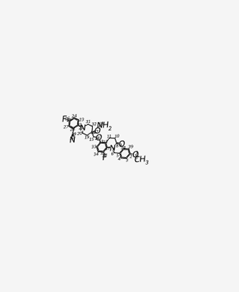 COc1ccc(CN2C(=O)CCc3c(OCC4(ON)CCN(c5ccc(F)cc5C#N)CC4)ccc(F)c32)cc1